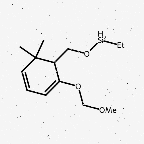 CC[SiH2]OCC1C(OCOC)=CC=CC1(C)C